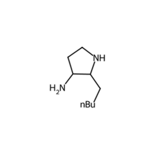 CCCCCC1NCCC1N